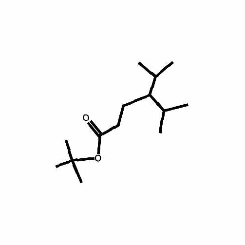 CC(C)C(CCC(=O)OC(C)(C)C)C(C)C